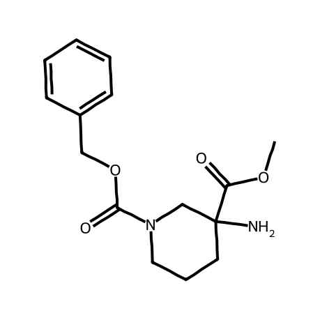 COC(=O)C1(N)CCCN(C(=O)OCc2ccccc2)C1